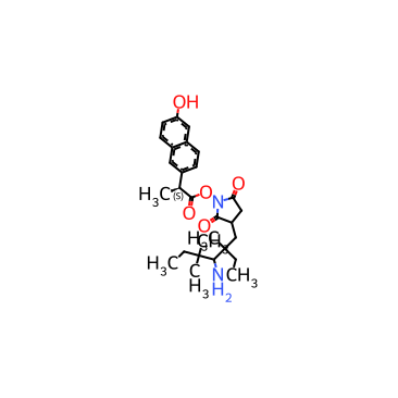 CCC(C)(C)C(N)C(C)(CC)CC1CC(=O)N(OC(=O)[C@@H](C)c2ccc3cc(O)ccc3c2)C1=O